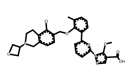 COc1c(C(=O)O)cnn1-c1cccc(-c2cccc(C)c2OCc2ccc3c(c2Cl)CCN(C2COC2)C3)n1